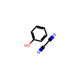 N#CC#N.Oc1ccccc1